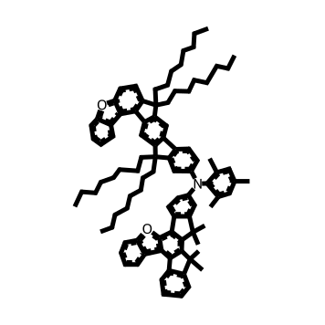 CCCCCCCCC1(CCCCCCCC)c2cc(N(c3ccc4c(c3)C(C)(C)c3c5c(c6c(oc7ccccc76)c3-4)-c3ccccc3C5(C)C)c3c(C)cc(C)cc3C)ccc2-c2cc3c(cc21)-c1c(ccc2oc4ccccc4c12)C3(CCCCCCCC)CCCCCCCC